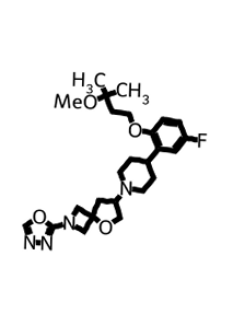 COC(C)(C)CCOc1ccc(F)cc1C1CCN(C2COC3(C2)CN(c2nnco2)C3)CC1